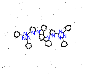 C1=Cc2c(n(-c3cccc(-c4nc(-c5ccccc5)nc(-c5ccccc5)n4)n3)c3c2ccc2c3c3ccccc3n2-c2cccc(-c3nc(-c4ccccc4)nc(-c4ccccc4)n3)n2)CC1